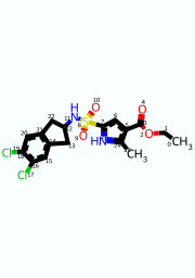 CCOC(=O)c1cc(S(=O)(=O)NC2Cc3cc(Cl)c(Cl)cc3C2)[nH]c1C